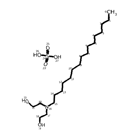 CCCCCCCCCCCCCCCCN(CCO)CCO.O=S(=O)(O)O